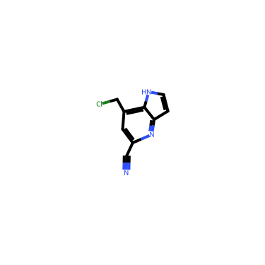 N#Cc1cc(CCl)c2[nH]ccc2n1